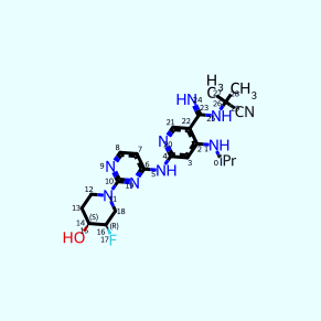 CC(C)Nc1cc(Nc2ccnc(N3CC[C@H](O)[C@H](F)C3)n2)ncc1C(=N)NC(C)(C)C#N